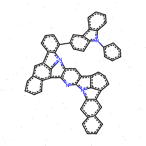 c1ccc(-n2c3ccccc3c3cc(-c4cccc5c6cc7ccccc7c7c8nc9c(cc8n(c45)c67)c4cccc5c6cc7ccccc7cc6n9c54)ccc32)cc1